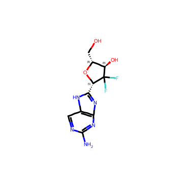 Nc1ncc2[nH]c([C@@H]3O[C@H](CO)[C@@H](O)C3(F)F)nc2n1